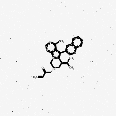 C=CC(=O)C[C@H]1CC(=C(C)C)c2c(-c3cnc4ccccc4c3)c3c(N)ncnc3n2C1